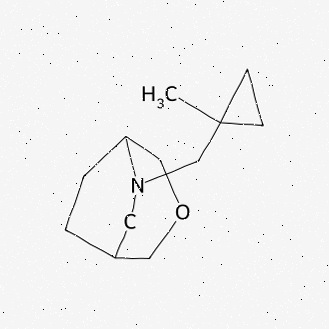 CC1(CN2CC3CCC2COC3)CC1